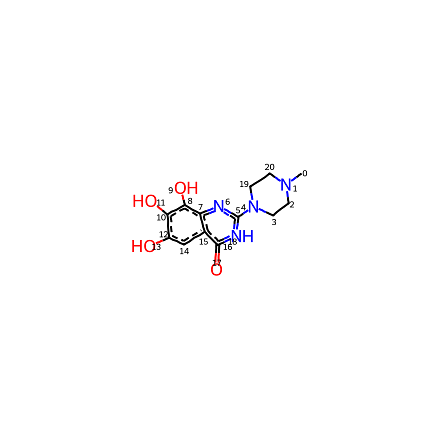 CN1CCN(c2nc3c(O)c(O)c(O)cc3c(=O)[nH]2)CC1